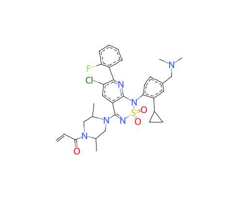 C=CC(=O)N1CC(C)N(C2=NS(=O)(=O)N(c3ccc(CN(C)C)cc3C3CC3)c3nc(-c4ccccc4F)c(Cl)cc32)CC1C